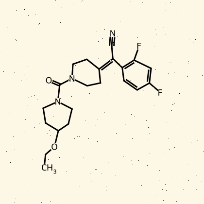 CCOC1CCN(C(=O)N2CCC(=C(C#N)c3ccc(F)cc3F)CC2)CC1